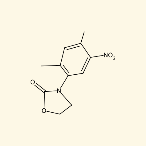 Cc1cc(C)c([N+](=O)[O-])cc1N1CCOC1=O